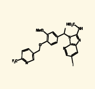 COc1cc(C(C)n2c(NC(=O)O)nc3cc(I)cnc32)ccc1OCc1ccc(C(F)(F)F)nc1